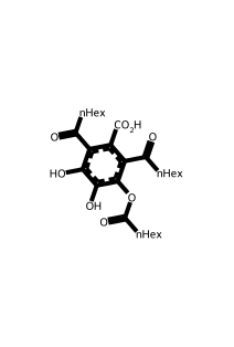 CCCCCCC(=O)Oc1c(O)c(O)c(C(=O)CCCCCC)c(C(=O)O)c1C(=O)CCCCCC